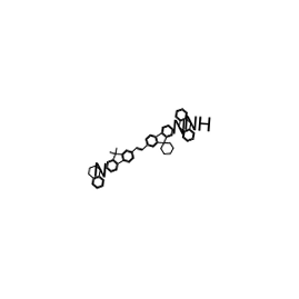 CC1(C)c2cc(/C=C/c3ccc4c(c3)C3(CCCCC3)c3cc(N5c6ccccc6Nc6ccccc65)ccc3-4)ccc2-c2ccc(N3CCCc4ccccc43)cc21